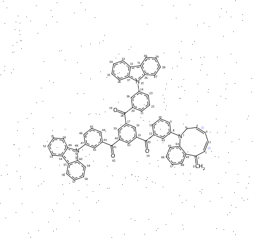 C=C1/C=C\C=C/CN(c2cccc(C(=O)c3cc(C(=O)c4cccc(-n5c6ccccc6c6ccccc65)c4)cc(C(=O)c4cccc(-n5c6ccccc6c6ccccc65)c4)c3)c2)c2ccccc21